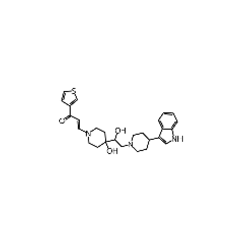 O=C(C=CN1CCC(O)(C(O)CN2CCC(c3c[nH]c4ccccc34)CC2)CC1)c1ccsc1